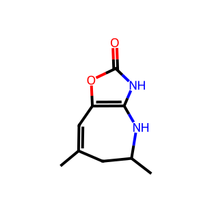 CC1=Cc2oc(=O)[nH]c2NC(C)C1